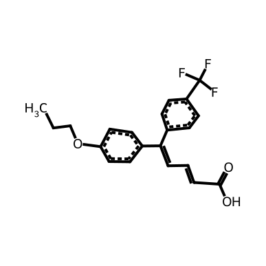 CCCOc1ccc(/C(=C/C=C/C(=O)O)c2ccc(C(F)(F)F)cc2)cc1